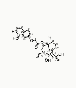 C=C[C@]1(C)C[C@@H](OC(=O)COc2ccc3c(c2)B(O)NN=C3)[C@@]2(C)C[C@](C[C@H](O)C(C)=O)(CC[C@H]2C)[C@@H](C)[C@@H]1O